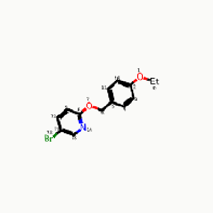 CCOc1ccc(COc2ccc(Br)cn2)cc1